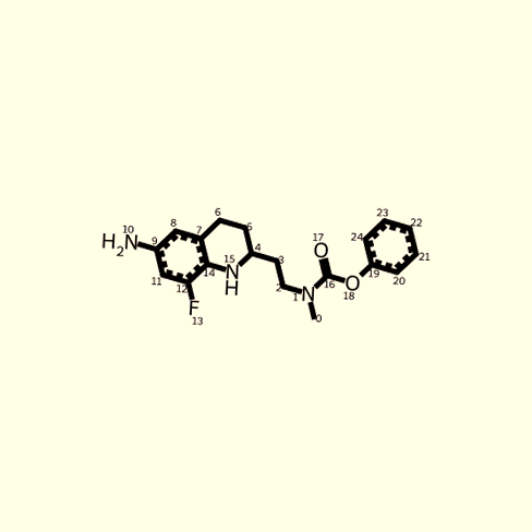 CN(CCC1CCc2cc(N)cc(F)c2N1)C(=O)Oc1ccccc1